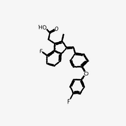 CC1=C(CC(=O)O)c2c(F)cccc2/C1=C\c1ccc(Oc2ccc(F)cc2)cc1